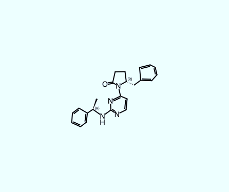 C[C@@H](Nc1nccc(N2C(=O)CC[C@@H]2Cc2ccccc2)n1)c1ccccc1